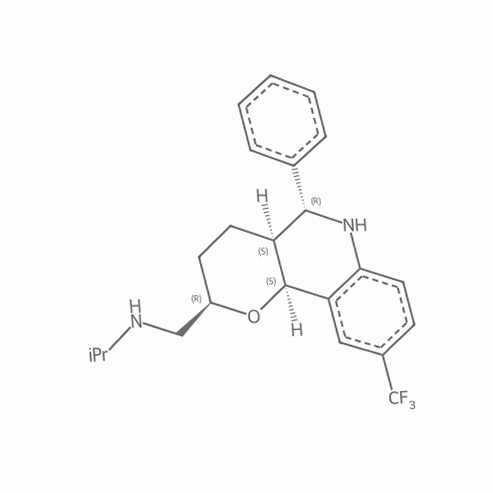 CC(C)NC[C@H]1CC[C@@H]2[C@H](O1)c1cc(C(F)(F)F)ccc1N[C@H]2c1ccccc1